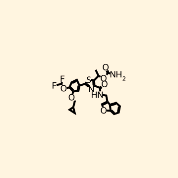 CC(OC(N)=O)c1sc(-c2ccc(OC(F)F)c(OCC3CC3)c2)nc1C(=O)NCc1coc2ccccc12